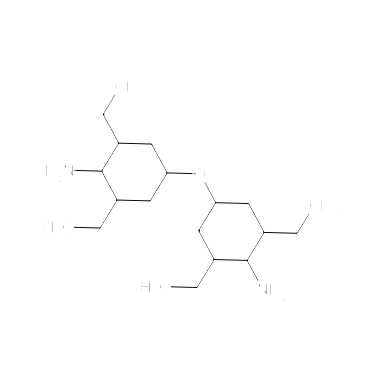 CCC1CC(OC2CC(CC)C(N)C(CC)C2)CC(CC)C1N